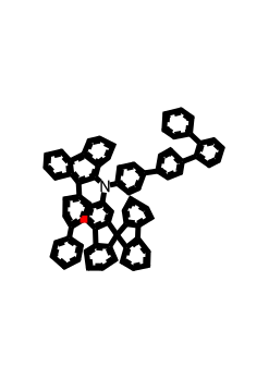 c1ccc(-c2ccc(-c3c(N(c4ccc(-c5ccc(-c6ccccc6-c6ccccc6)cc5)cc4)c4ccc5c(c4)C4(c6ccccc6-c6ccccc64)c4ccccc4-5)c4ccccc4c4ccccc34)cc2)cc1